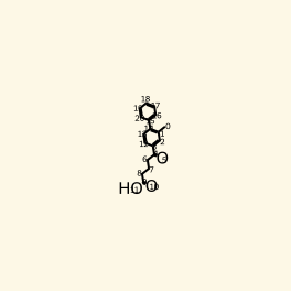 Cc1cc(C(=O)CCCC(=O)O)ccc1-c1ccccc1